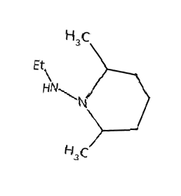 CCNN1C(C)CCCC1C